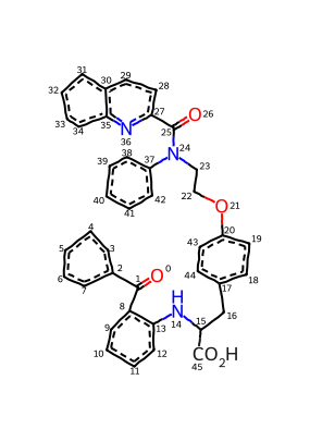 O=C(c1ccccc1)c1ccccc1NC(Cc1ccc(OCCN(C(=O)c2ccc3ccccc3n2)c2ccccc2)cc1)C(=O)O